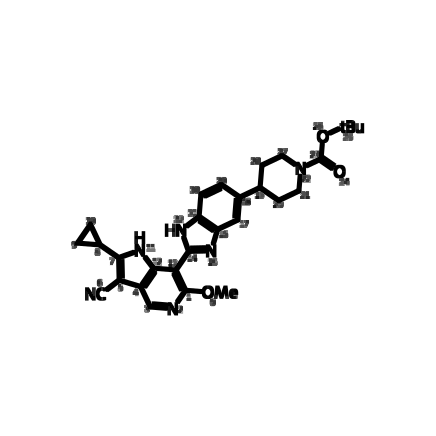 COc1ncc2c(C#N)c(C3CC3)[nH]c2c1-c1nc2cc(C3CCN(C(=O)OC(C)(C)C)CC3)ccc2[nH]1